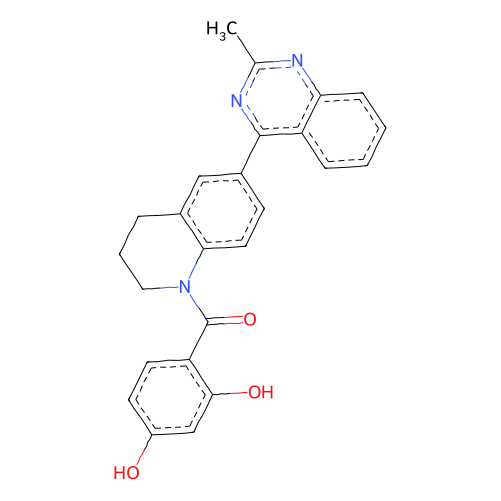 Cc1nc(-c2ccc3c(c2)CCCN3C(=O)c2ccc(O)cc2O)c2ccccc2n1